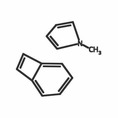 C1=Cc2ccccc21.Cn1cccc1